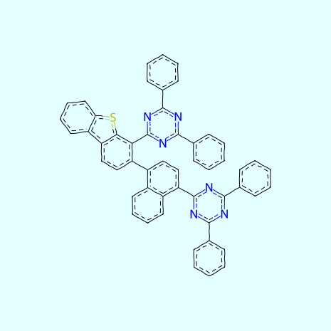 c1ccc(-c2nc(-c3ccccc3)nc(-c3ccc(-c4ccc5c(sc6ccccc65)c4-c4nc(-c5ccccc5)nc(-c5ccccc5)n4)c4ccccc34)n2)cc1